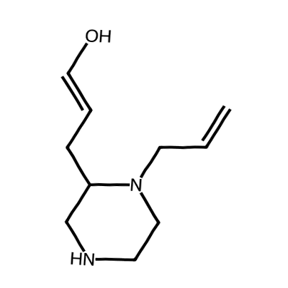 C=CCN1CCNCC1CC=CO